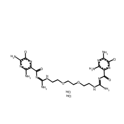 Cl.Cl.NC(=NC(=O)c1nc(Cl)c(N)nc1N)NCCOCCOCCNC(N)=NC(=O)c1nc(Cl)c(N)nc1N